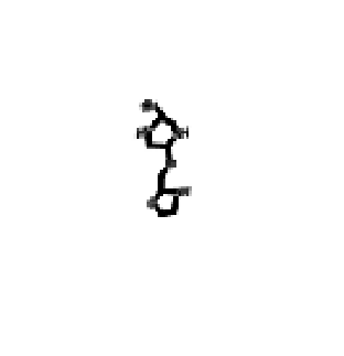 CC(C)(C)C1CNC(OCC2NCCO2)CN1